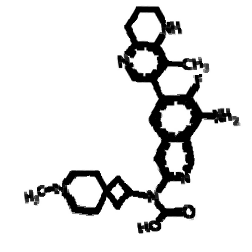 Cc1c(-c2cc3cc(N(C(=O)O)C4CC5(CCN(C)CC5)C4)ncc3c(N)c2F)cnc2c1NCCC2